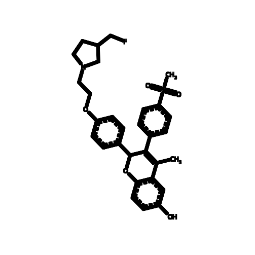 CC1=C(c2ccc(S(C)(=O)=O)cc2)C(c2ccc(OCCN3CCC(CF)C3)cc2)Oc2ccc(O)cc21